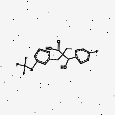 CCC(Cc1cccc(SC(F)(F)F)c1)(C(=O)O)C(O)c1ccc(F)cc1